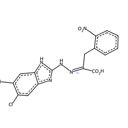 O=C(O)/C(Cc1ccccc1[N+](=O)[O-])=N/Nc1nc2cc(Cl)c(Cl)cc2[nH]1